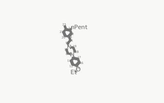 CCCCCc1cc(CCN2CCN(c3ccc(OCC)cc3)CC2)ccc1C